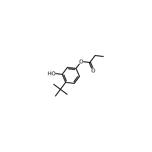 CCC(=O)Oc1ccc(C(C)(C)C)c(O)c1